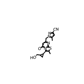 Cc1sc2nc(Cn3nc(C#N)cc3C)cc(=O)n2c1C1CC1CO